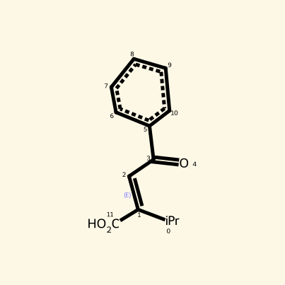 CC(C)/C(=C\C(=O)c1ccccc1)C(=O)O